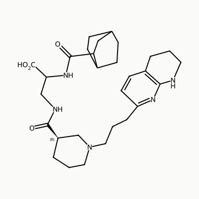 O=C(O)C(CNC(=O)[C@@H]1CCCN(CCCc2ccc3c(n2)NCCC3)C1)NC(=O)C1CC2CCC1CC2